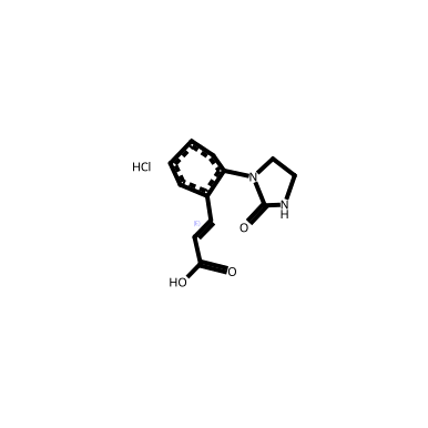 Cl.O=C(O)/C=C/c1ccccc1N1CCNC1=O